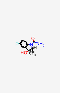 [2H]C1([2H])N(C(N)=O)c2ccc(F)cc2C1(O)C(F)(F)F